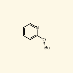 CC[C@H](C)Oc1ccccn1